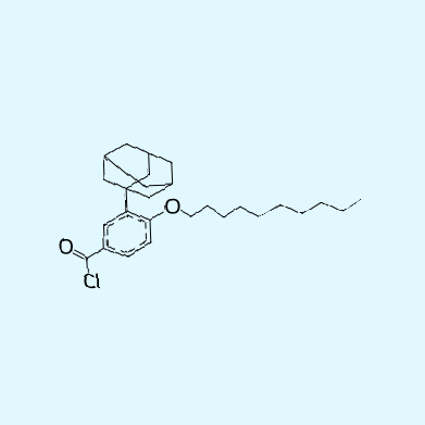 CCCCCCCCCCOc1ccc(C(=O)Cl)cc1C12CC3CC(CC(C3)C1)C2